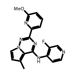 COc1cccc(-c2nc(Nc3ccncc3F)c3c(C)ccn3n2)n1